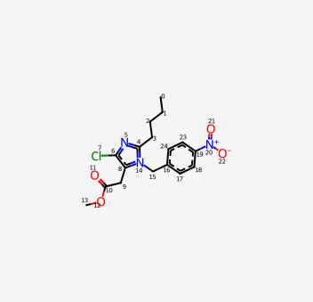 CCCCc1nc(Cl)c(CC(=O)OC)n1Cc1ccc([N+](=O)[O-])cc1